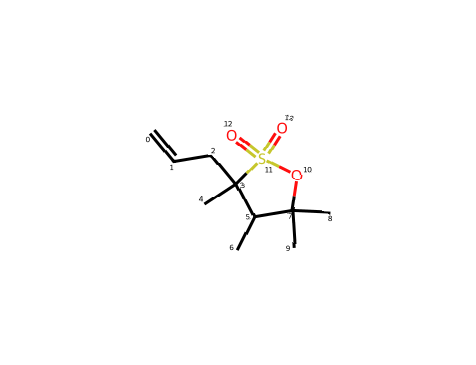 C=CCC1(C)C(C)C(C)(C)OS1(=O)=O